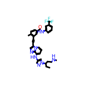 CCC(CCNC)n1cc(Nc2cccn3c(C#Cc4cc(C(=O)Nc5cccc(C(F)(F)F)c5)ccc4C)cnc23)cn1